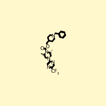 C[C@@H]1CN(c2cnc(C(F)(F)F)cn2)C[C@@H](C)N1C(=O)OCC1CCN(Cc2ccccc2)CC1